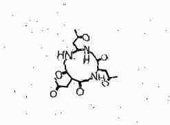 CC(=O)CC1NCC(=O)C(CC(C)=O)NCC(=O)C(CC(C)=O)C(=O)CN1